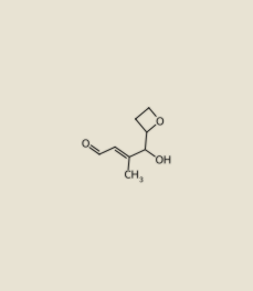 CC(=CC=O)C(O)C1CCO1